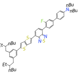 CCCCC(CC)Cc1cc(CC(CC)CCCC)cc(-c2cc3sc(-c4ccc(-c5ccc(-c6ccc(N(CCCC)CCCC)cc6)cc5F)c5nsnc45)cc3s2)c1